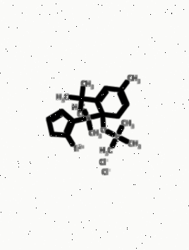 CC1=CCC(O[Si](C)(C)C)([Si](C)(C)C2=[C]([Ti+2])CC=C2)C(C(C)(C)C)=C1.[Cl-].[Cl-]